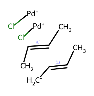 [CH2-]/C=C/C.[CH2-]/C=C/C.[Cl][Pd+].[Cl][Pd+]